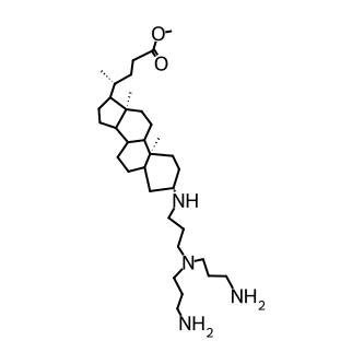 COC(=O)CC[C@@H](C)C1CCC2C3CCC4C[C@@H](NCCCN(CCCN)CCCN)CC[C@]4(C)C3CC[C@@]21C